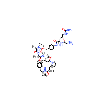 CC[C@H](C)[C@@H]([C@@H](CC(=O)N1CCC[C@H]1C[C@@H](C)C(=O)N[C@H](C)Cc1ccccc1)OC)N(C)C(=O)[C@@H](NC(=O)[C@H](C(C)C)N(C)C(=O)OCc1ccc(NC(=O)[C@H](CCCNC(N)=O)NC(=O)CN)cc1)C(C)C